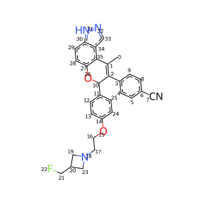 CC1=C(c2ccc(C#N)cc2)C(c2ccc(OCCN3CC(CF)C3)cc2)Oc2ccc3[nH]ncc3c21